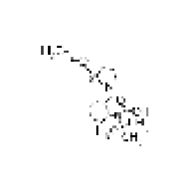 C=CCOC[C@H]1CCCN(CC2CCCCC2N(C(=O)O)C(C)(C)C)C1